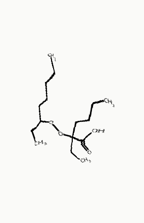 CCCCCC(CC)OOC(CC)(CCCC)C(=O)O